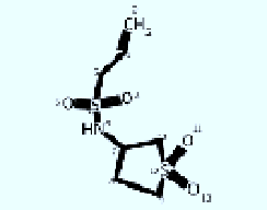 C=CCS(=O)(=O)NC1CCS(=O)(=O)C1